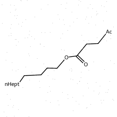 CCCCCCCCCCCOC(=O)CCC(C)=O